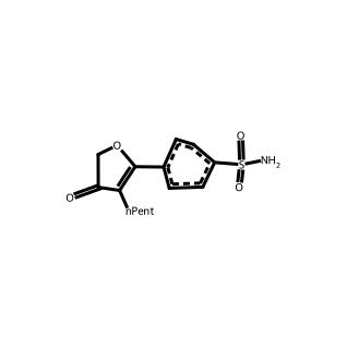 CCCCCC1=C(c2ccc(S(N)(=O)=O)cc2)OCC1=O